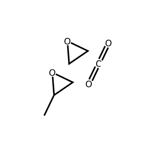 C1CO1.CC1CO1.O=C=O